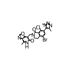 Cc1nnn(C)c1-c1cc(Br)c2c(c1Cl)C(=O)N(Cc1c(=O)[nH]c(C)c3ncoc13)CC2